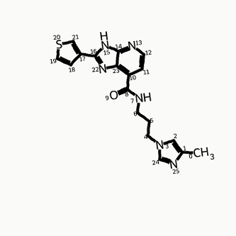 Cc1cn(CCCNC(=O)c2ccnc3[nH]c(-c4ccsc4)nc23)cn1